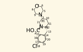 O=C(O)N1C[C@H](N2CCOCC2)CC[C@@H]1Cc1ccc(Cl)cc1